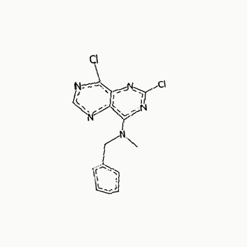 CN(Cc1ccccc1)c1nc(Cl)nc2c(Cl)ncnc12